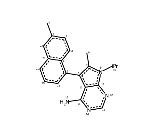 Cc1ccc2c(-c3c(C)n(C(C)C)c4ncnc(N)c34)cccc2c1